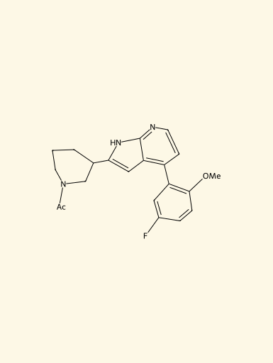 COc1ccc(F)cc1-c1ccnc2[nH]c(C3CCCN(C(C)=O)C3)cc12